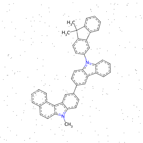 Cn1c2ccc(-c3ccc4c(c3)c3ccccc3n4-c3ccc4c(c3)-c3ccccc3C4(C)C)cc2c2c3ccccc3ccc21